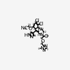 Cn1ncnc1COCC(=O)N1CCN2C(=C(c3cn[nH]c3)C3C(OCC#N)=CC(Cl)=C(Cl)C32)C1